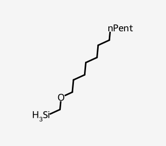 CCCCCCCCCCCCOC[SiH3]